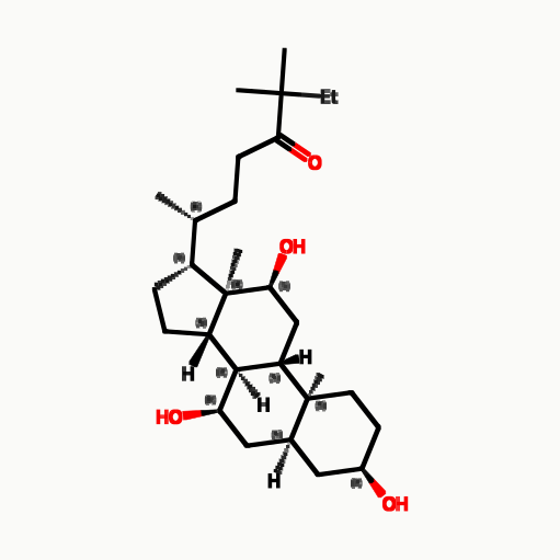 CCC(C)(C)C(=O)CC[C@@H](C)[C@H]1CC[C@H]2[C@@H]3[C@H](O)C[C@@H]4C[C@H](O)CC[C@]4(C)[C@H]3C[C@H](O)[C@]12C